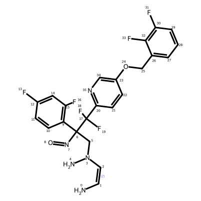 N/C=C\N(N)CC(N=O)(c1ccc(F)cc1F)C(F)(F)c1ccc(OCc2cccc(F)c2F)cn1